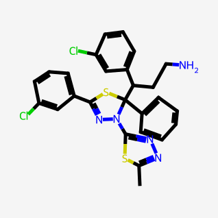 Cc1nnc(N2N=C(c3cccc(Cl)c3)SC2(c2ccccc2)C(CCN)c2cccc(Cl)c2)s1